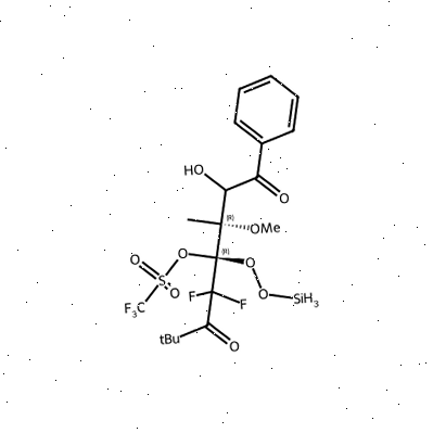 CO[C@](C)(C(O)C(=O)c1ccccc1)[C@@](OO[SiH3])(OS(=O)(=O)C(F)(F)F)C(F)(F)C(=O)C(C)(C)C